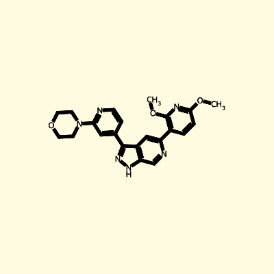 COc1ccc(-c2cc3c(-c4ccnc(N5CCOCC5)c4)n[nH]c3cn2)c(OC)n1